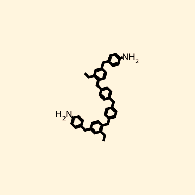 CCc1cc(Cc2ccc(N)cc2)ccc1Cc1ccc(Cc2ccc(Cc3ccc(Cc4ccc(N)cc4)cc3CC)cc2)cc1